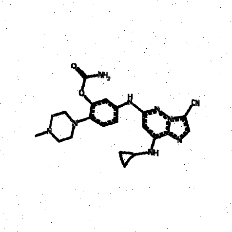 CN1CCN(c2ccc(Nc3cc(NC4CC4)c4ncc(C#N)n4n3)cc2OC(N)=O)CC1